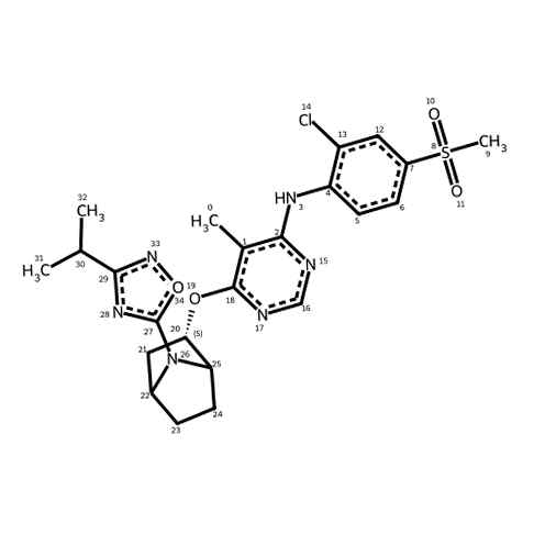 Cc1c(Nc2ccc(S(C)(=O)=O)cc2Cl)ncnc1O[C@H]1CC2CCC1N2c1nc(C(C)C)no1